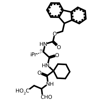 CC(C)[C@H](NC(=O)OCC1c2ccccc2-c2ccccc21)C(=O)NC1(C(=O)NC(C=O)CC(=O)O)CCCCC1